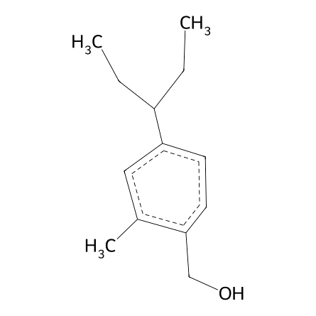 CCC(CC)c1ccc(CO)c(C)c1